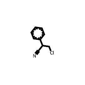 N#CC(CCl)c1ccccc1